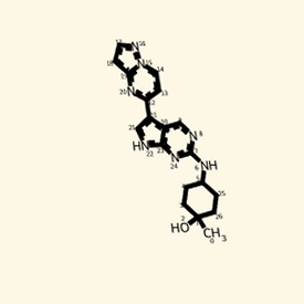 CC1(O)CCC(Nc2ncc3c(-c4ccn5nccc5n4)c[nH]c3n2)CC1